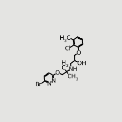 Cc1cccc(OCC(O)CNC(C)(C)COc2ccc(Br)nn2)c1Cl